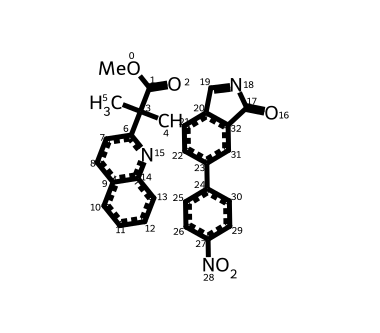 COC(=O)C(C)(C)c1ccc2ccccc2n1.O=C1N=Cc2ccc(-c3ccc([N+](=O)[O-])cc3)cc21